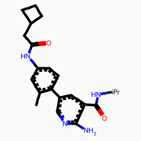 Cc1cc(NC(=O)CC2CCC2)ccc1-c1cnc(N)c(C(=O)NC(C)C)c1